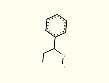 CCNC(CO)c1ccccc1